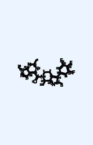 Cc1nc(C(=O)N2CCc3c(nn(C)c3-c3cc(F)c(F)c(F)c3)C2C)c2cnn(C)c2n1